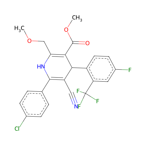 COCC1=C(C(=O)OC)C(c2ccc(F)cc2C(F)(F)F)C(C#N)=C(c2ccc(Cl)cc2)N1